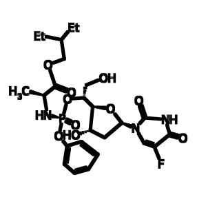 CCC(CC)COC(=O)[C@H](C)N[P@@](=O)(Oc1ccccc1)O[C@H](CO)[C@H]1O[C@@H](n2cc(F)c(=O)[nH]c2=O)C[C@@H]1O